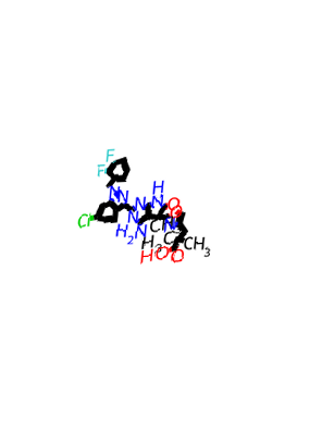 CC(C)(Cc1coc(C2(C)C(=O)Nc3nc(-c4nn(Cc5cccc(F)c5F)c5cc(Cl)ccc45)nc(N)c32)n1)C(=O)O